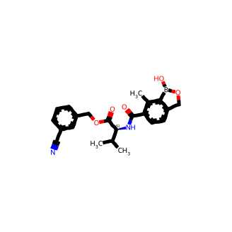 Cc1c(C(=O)N[C@H](C(=O)OCc2cccc(C#N)c2)C(C)C)ccc2c1B(O)OC2